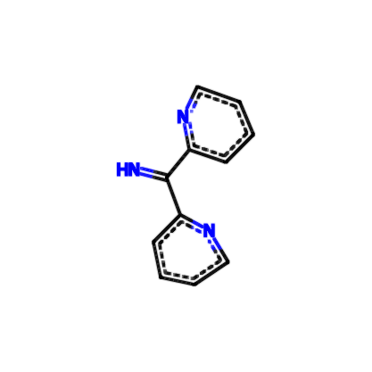 N=C(c1ccccn1)c1ccccn1